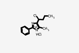 CCCC(Cl)c1nc(-c2ccccc2)[nH]c1C.Cl